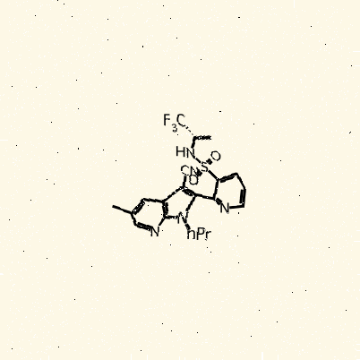 CCCn1c(-c2ncccc2S(=O)(=O)N[C@@H](C)C(F)(F)F)c(C#N)c2cc(C)cnc21